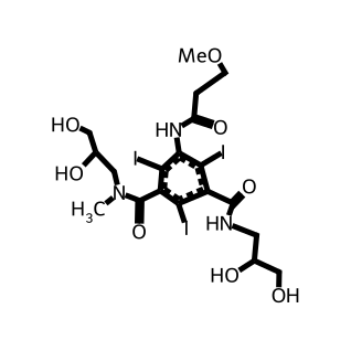 COCCC(=O)Nc1c(I)c(C(=O)NCC(O)CO)c(I)c(C(=O)N(C)CC(O)CO)c1I